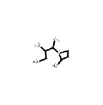 CCC(C)C(C)N1CCC1C